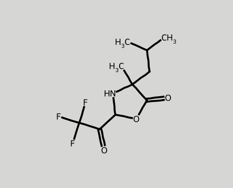 CC(C)CC1(C)NC(C(=O)C(F)(F)F)OC1=O